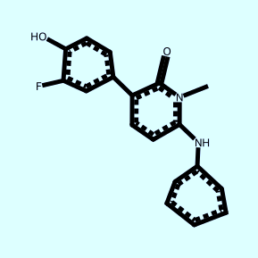 Cn1c(Nc2ccccc2)ccc(-c2ccc(O)c(F)c2)c1=O